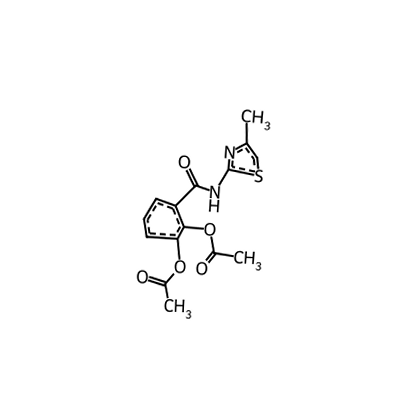 CC(=O)Oc1cccc(C(=O)Nc2nc(C)cs2)c1OC(C)=O